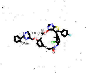 CCOC(=O)[C@H]1Cc2cc(ccc2OCc2ccnc(-c3ccccc3OC)n2)CCC(=O)Nc2ccc(c(C)c2Cl)-c2c(-c3ccc(F)cc3)sc3ncnc(c23)O1